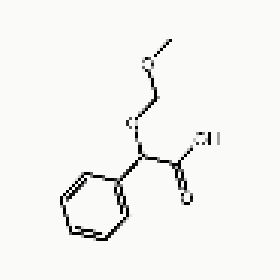 COCOC(C(=O)O)c1ccccc1